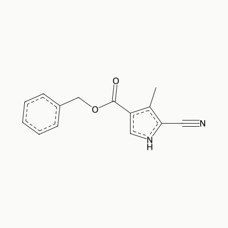 Cc1c(C(=O)OCc2ccccc2)c[nH]c1C#N